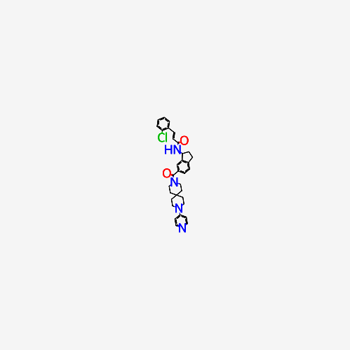 O=C(C=Cc1ccccc1Cl)NC1CCc2ccc(C(=O)N3CCC4(CC3)CCN(c3ccncc3)CC4)cc21